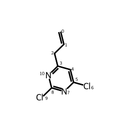 C=CCc1cc(Cl)nc(Cl)n1